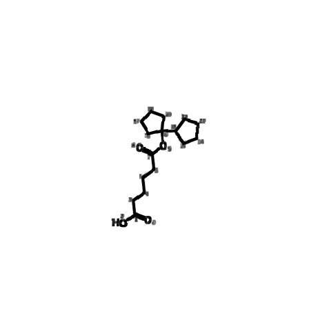 O=C(O)CCCCC(=O)OC1(C2CCCC2)CCCC1